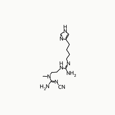 CN(CCNC(N)=NCCCCc1c[nH]cn1)C(N)=NC#N